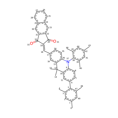 Cc1cc(C)c(-c2ccc3c(c2)C(C)(C)c2cc(C=C4C(=O)c5cc6ccccc6cc5C4=O)ccc2N3c2c(C)cc(C)cc2C)c(C)c1